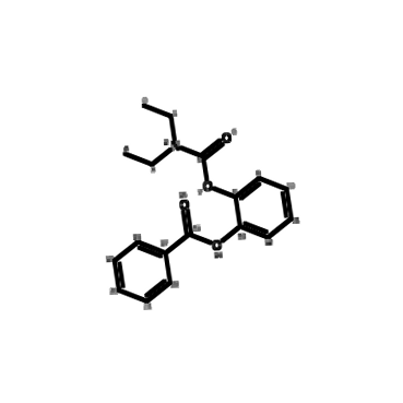 CCN(CC)C(=O)Oc1ccccc1OC(=O)c1ccccc1